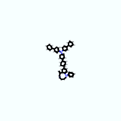 C=C1/C=C\CCCN(c2ccccc2)C2=CC=C(C3=CC=C(C4=CC=C(N(C5=CCC(C6=CCCC=C6)C=C5)C5C=CC(C6C=CC=CC6)=CC5)CC4)CC3)CC12